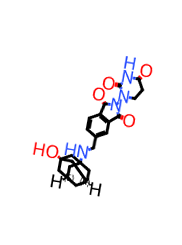 O=C1CCN(N2C(=O)c3ccc(CNC45C[C@@H]6C[C@@H](CC(O)(C6)C4)C5)cc3C2=O)C(=O)N1